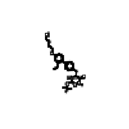 CCc1cc(OCCCCCl)ccc1-c1ccc(C[C@H](NC(=O)OC(C)(C)C)C(=O)OC)cc1